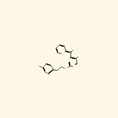 Cc1cnc(NCCc2ccc(N)cc2)nc1/C(C#N)=C1/C=CC=CN1